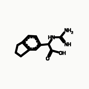 N=C(N)NC(C(=O)O)c1ccc2c(c1)CCC2